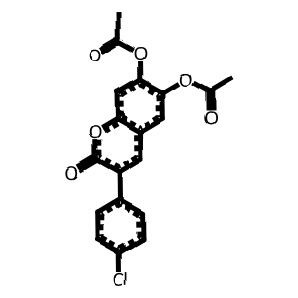 CC(=O)Oc1cc2cc(-c3ccc(Cl)cc3)c(=O)oc2cc1OC(C)=O